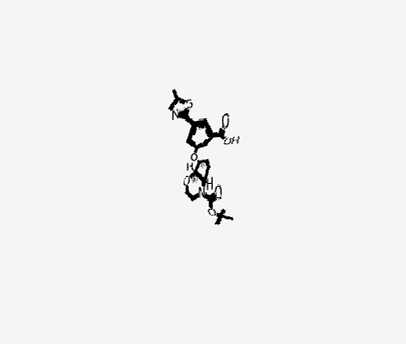 Cc1cnc(-c2cc(O[C@@H]3CC[C@@H]4[C@H]3OCCN4C(=O)OC(C)(C)C)cc(C(=O)O)c2)s1